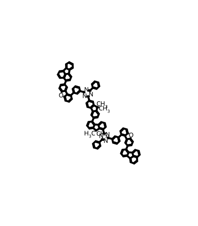 CC1(C)c2ccc(-c3cccc4c3-c3cccc(-c5nc(-c6ccccc6)nc(-c6cccc(-c7cccc8oc9ccc(-c%10cccc%11c%10-c%10cccc%12cccc-%11c%10%12)cc9c78)c6)n5)c3C4(C)C)cc2-c2ccc(-c3nc(-c4ccccc4)nc(-c4cccc(-c5cccc6oc7ccc(-c8ccc9c%10c(cccc8%10)-c8ccccc8-9)cc7c56)c4)n3)cc21